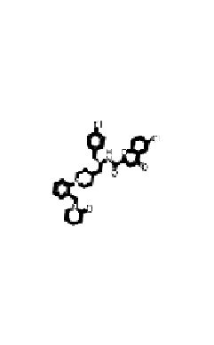 O=C(N[C@@H](C=C1CCN(c2ccccc2CN2CCCCC2=O)CC1)Cc1ccc(Cl)cc1)c1cc(=O)c2cc(Cl)ccc2o1